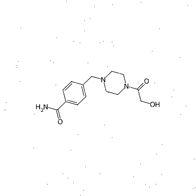 NC(=O)c1ccc(CN2CCN(C(=O)CO)CC2)cc1